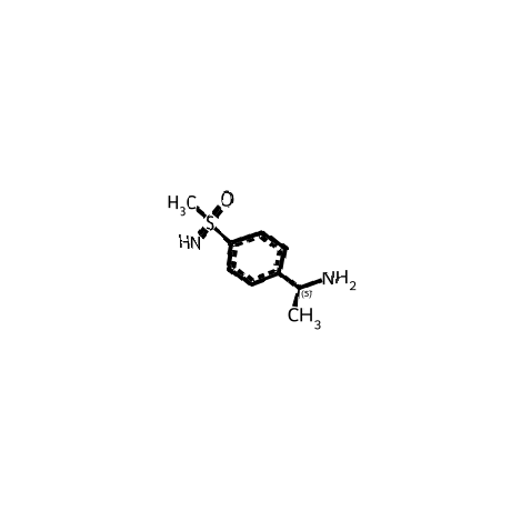 C[C@H](N)c1ccc(S(C)(=N)=O)cc1